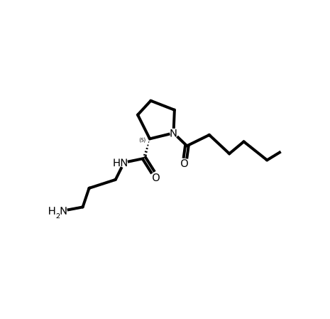 CCCCCC(=O)N1CCC[C@H]1C(=O)NCCCN